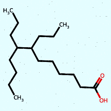 CCCCC(CCC)C(CCC)CCCCCC(=O)O